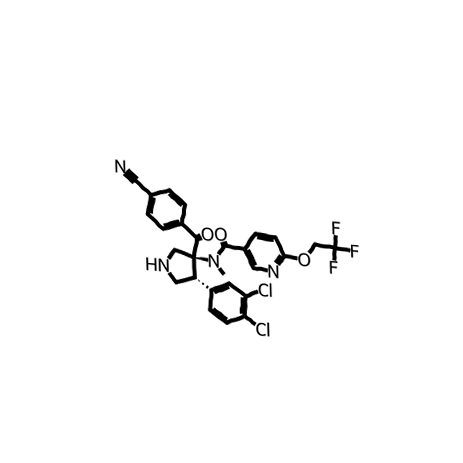 CN(C(=O)c1ccc(OCC(F)(F)F)nc1)[C@]1(C(=O)c2ccc(C#N)cc2)CNC[C@H]1c1ccc(Cl)c(Cl)c1